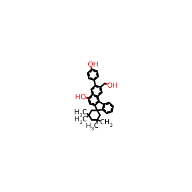 CC1(C)CC(C)(C)CC2(C1)c1ccccc1-c1c2cc(O)c2cc(-c3ccc(O)cc3)c(CO)cc12